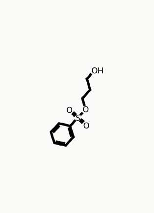 O=S(=O)(OCCCO)c1ccccc1